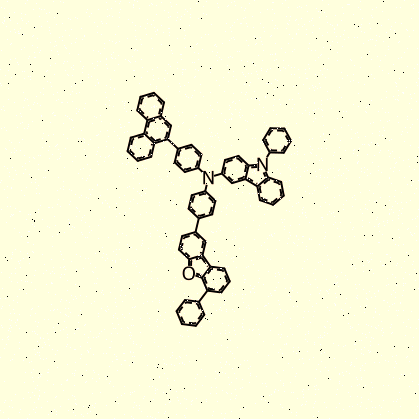 c1ccc(-c2cccc3c2oc2ccc(-c4ccc(N(c5ccc(-c6cc7ccccc7c7ccccc67)cc5)c5ccc6c(c5)c5ccccc5n6-c5ccccc5)cc4)cc23)cc1